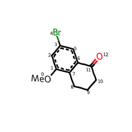 COc1cc(Br)cc2c1CCCC2=O